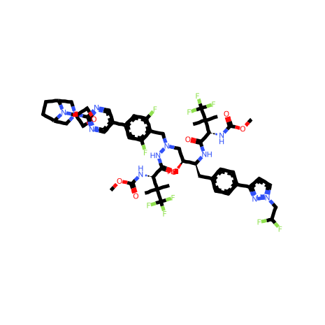 COC(=O)N[C@H](C(=O)N[C@@H](Cc1ccc(-c2ccn(CC(F)F)n2)cc1)[C@@H](O)CN(Cc1c(F)cc(-c2cnc(N3CC4CCC(C3)N4C3COC3)nc2)cc1F)NC(=O)[C@@H](NC(=O)OC)C(C)(C)C(F)(F)F)C(C)(C)C(F)(F)F